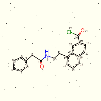 O=C(Cc1ccccc1)NCCc1cccc2ccc(C(=O)Cl)cc12